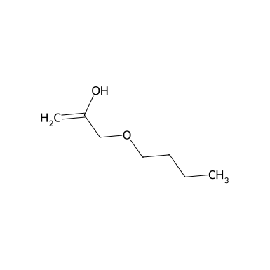 C=C(O)COCCCC